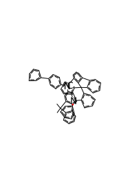 CC1(C)c2ccccc2-c2ccc(N(c3ccc(-c4ccccc4)cc3)c3cccc4c3C3(c5ccccc5-4)c4ccccc4N(c4ccccc4)c4ccccc43)cc21